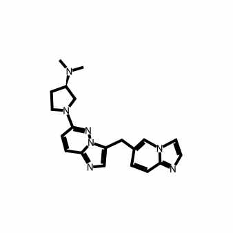 CN(C)[C@@H]1CCN(c2ccc3ncc(Cc4ccc5nccn5c4)n3n2)C1